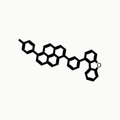 Cc1ccc(-c2ccc3ccc4c(-c5cccc(-c6cccc7oc8ccccc8c67)c5)ccc5ccc2c3c54)cc1